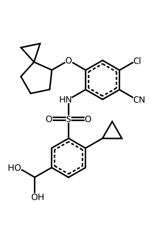 N#Cc1cc(NS(=O)(=O)c2cc(C(O)O)ccc2C2CC2)c(OC2CCCC23CC3)cc1Cl